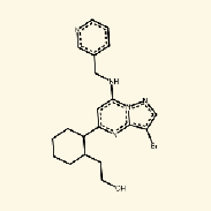 OCCC1CCCCC1c1cc(NCc2cccnc2)n2ncc(Br)c2n1